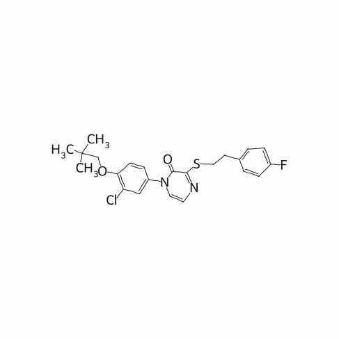 CC(C)(C)COc1ccc(-n2ccnc(SCCc3ccc(F)cc3)c2=O)cc1Cl